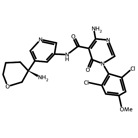 COc1cc(Cl)c(-n2cnc(N)c(C(=O)Nc3cncc([C@@]4(N)CCCOC4)c3)c2=O)c(Cl)c1